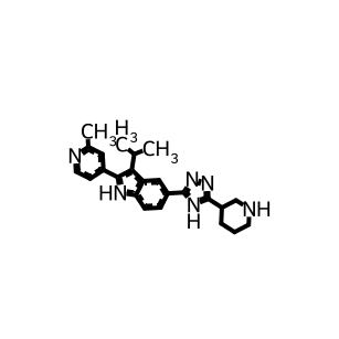 Cc1cc(-c2[nH]c3ccc(-c4nnc(C5CCCNC5)[nH]4)cc3c2C(C)C)ccn1